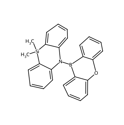 C[Si]1(C)c2ccccc2N(B2c3ccccc3Oc3ccccc32)c2ccccc21